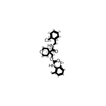 Cc1cccc(F)c1NC(=O)OCC1(C(=O)NCc2ccccc2Cl)CCOCC1